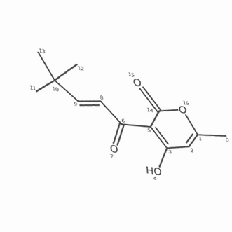 Cc1cc(O)c(C(=O)C=CC(C)(C)C)c(=O)o1